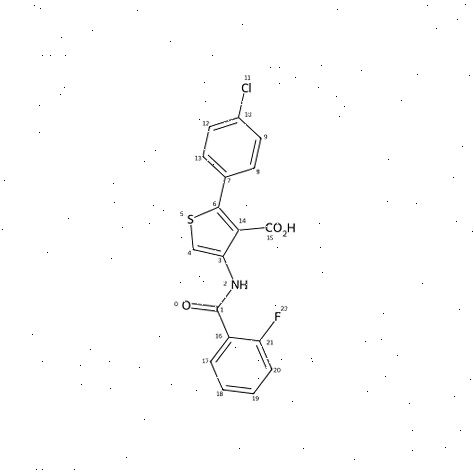 O=C(Nc1csc(-c2ccc(Cl)cc2)c1C(=O)O)c1ccccc1F